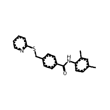 Cc1ccc(NC(=O)c2ccc(CSc3ccccn3)cc2)c(C)c1